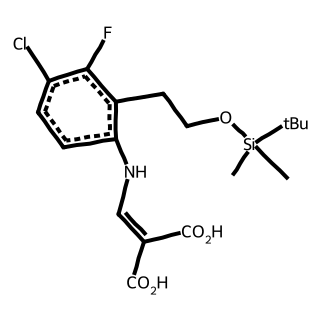 CC(C)(C)[Si](C)(C)OCCc1c(NC=C(C(=O)O)C(=O)O)ccc(Cl)c1F